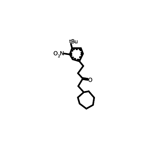 CC(C)(C)c1ccc(CCC(=O)CC2CCCCCC2)cc1[N+](=O)[O-]